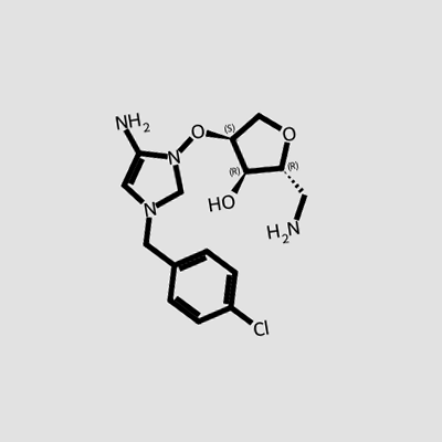 NC[C@H]1OC[C@H](ON2CN(Cc3ccc(Cl)cc3)C=C2N)[C@@H]1O